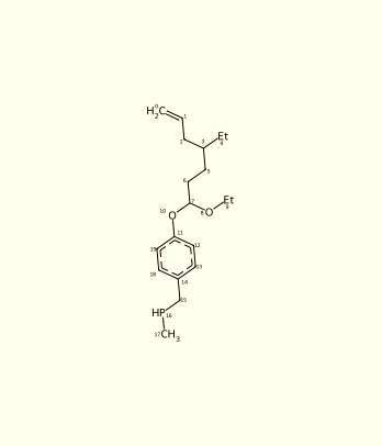 C=CCC(CC)CCC(OCC)Oc1ccc(CPC)cc1